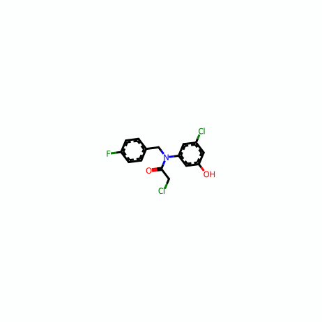 O=C(CCl)N(Cc1ccc(F)cc1)c1cc(O)cc(Cl)c1